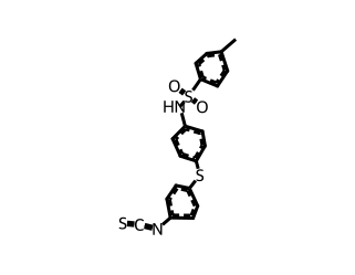 Cc1ccc(S(=O)(=O)Nc2ccc(Sc3ccc(N=C=S)cc3)cc2)cc1